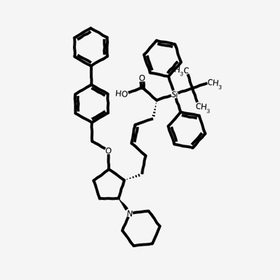 CC(C)(C)[Si](c1ccccc1)(c1ccccc1)[C@H](C/C=C\CC[C@H]1C(OCc2ccc(-c3ccccc3)cc2)CC[C@@H]1N1CCCCC1)C(=O)O